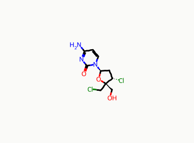 Nc1ccn([C@H]2C[C@H](Cl)[C@](CO)(CCl)O2)c(=O)n1